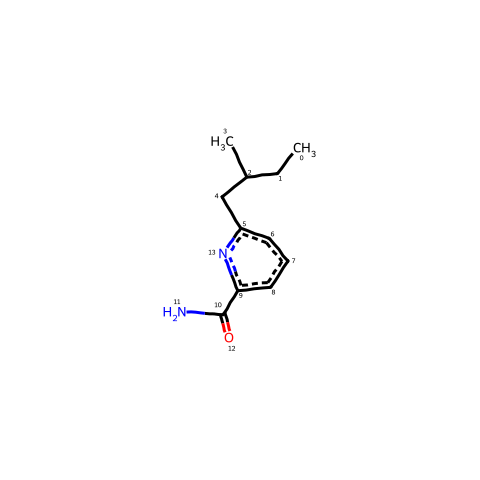 CCC(C)Cc1cccc(C(N)=O)n1